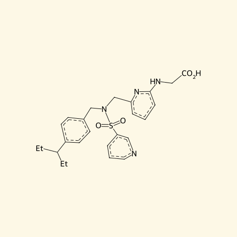 CCC(CC)c1ccc(CN(Cc2cccc(NCC(=O)O)n2)S(=O)(=O)c2cccnc2)cc1